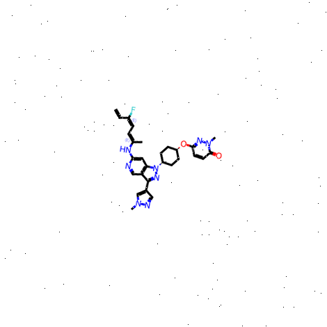 C=C/C(F)=C\C=C(/C)Nc1cc2c(cn1)c(-c1cnn(C)c1)nn2[C@H]1CC[C@@H](Oc2ccc(=O)n(C)n2)CC1